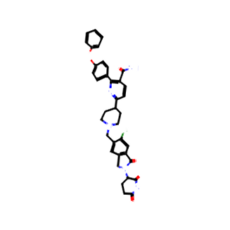 NC(=O)c1ccc(C2CCN(Cc3cc4c(cc3Br)C(=O)N(C3CCC(=O)NC3=O)C4)CC2)nc1-c1ccc(Oc2ccccc2)cc1